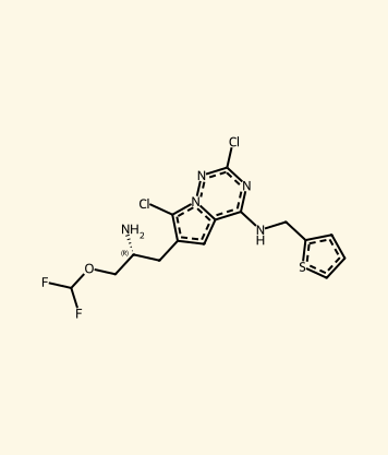 N[C@@H](COC(F)F)Cc1cc2c(NCc3cccs3)nc(Cl)nn2c1Cl